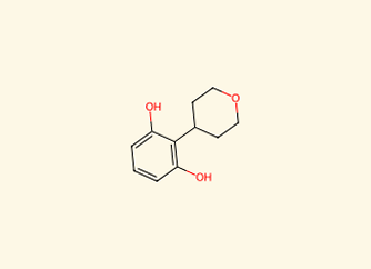 Oc1cccc(O)c1C1CCOCC1